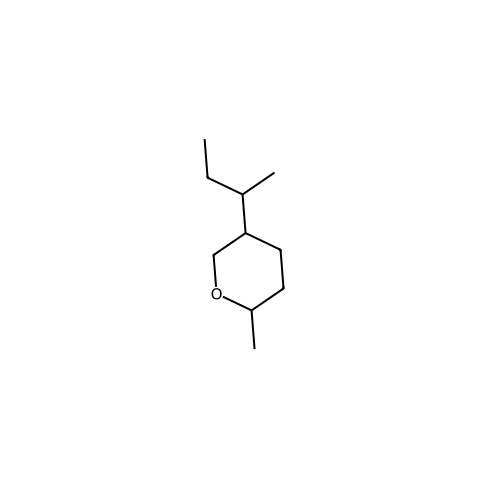 CCC(C)C1CCC(C)OC1